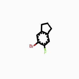 Fc1cc2c(cc1Br)CCC2